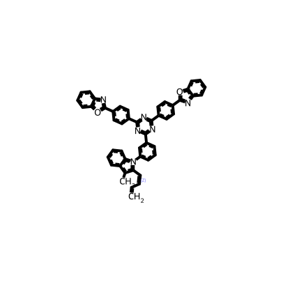 C=C/C=C\c1c(C)c2ccccc2n1-c1cccc(-c2nc(-c3ccc(-c4nc5ccccc5o4)cc3)nc(-c3ccc(-c4nc5ccccc5o4)cc3)n2)c1